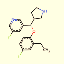 CCc1cc(F)ccc1O[C@H](c1cncc(F)c1)C1CCNC1